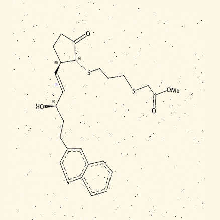 COC(=O)CSCCCS[C@H]1C(=O)CC[C@@H]1/C=C/[C@H](O)CCc1ccc2ccccc2c1